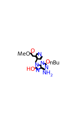 CCCCOc1nc(N)c2nc(O)n(Cc3ccncc3CC(=O)OC)c2n1